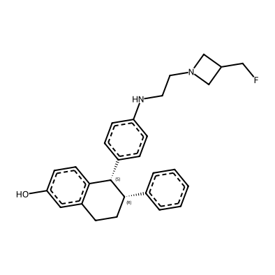 Oc1ccc2c(c1)CC[C@@H](c1ccccc1)[C@H]2c1ccc(NCCN2CC(CF)C2)cc1